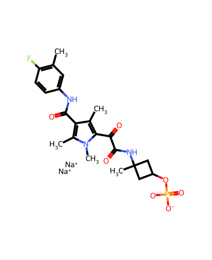 Cc1cc(NC(=O)c2c(C)c(C(=O)C(=O)NC3(C)CC(OP(=O)([O-])[O-])C3)n(C)c2C)ccc1F.[Na+].[Na+]